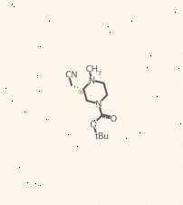 CN1CCN(C(=O)OC(C)(C)C)C[C@@H]1CC#N